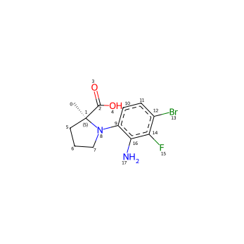 C[C@@]1(C(=O)O)CCCN1c1ccc(Br)c(F)c1N